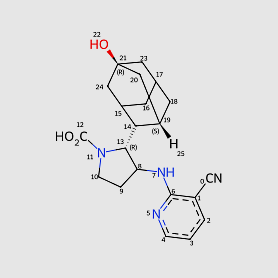 N#Cc1cccnc1NC1CCN(C(=O)O)[C@@H]1C1C2CC3C[C@H]1C[C@@](O)(C3)C2